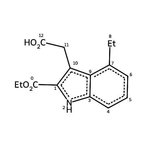 CCOC(=O)c1[nH]c2cccc(CC)c2c1CC(=O)O